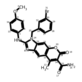 COc1ccc(Nc2nc3cc4c(C)c(C(N)=O)c(=O)oc4cc3n2Cc2cccc(Br)c2)cc1